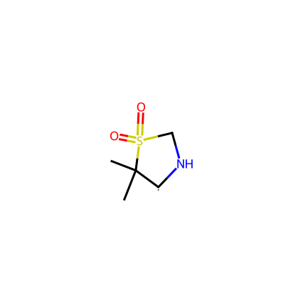 CC1(C)[CH]NCS1(=O)=O